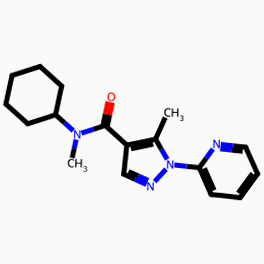 Cc1c(C(=O)N(C)C2CCCCC2)cnn1-c1ccccn1